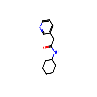 O=C(Cc1cccnc1)NC1CCCCC1